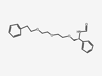 O=CN[C@H](COCCOCCOCCc1ccccc1)c1ccccc1